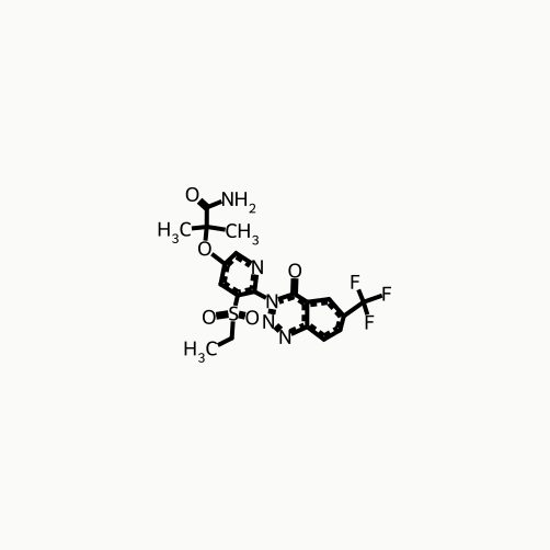 CCS(=O)(=O)c1cc(OC(C)(C)C(N)=O)cnc1-n1nnc2ccc(C(F)(F)F)cc2c1=O